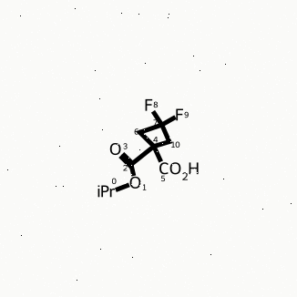 CC(C)OC(=O)C1(C(=O)O)CC(F)(F)C1